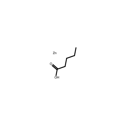 CCCCC(=O)O.[Zn]